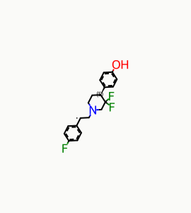 Oc1ccc([C@@H]2CCN(C[CH]c3ccc(F)cc3)CC2(F)F)cc1